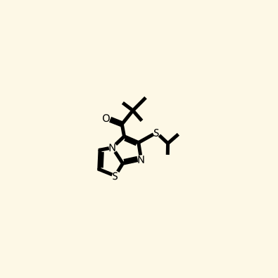 CC(C)Sc1nc2sccn2c1C(=O)C(C)(C)C